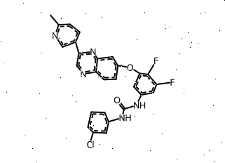 Cc1ccc(-c2cnc3ccc(Oc4cc(NC(=O)Nc5cccc(Cl)c5)cc(F)c4F)cc3n2)cn1